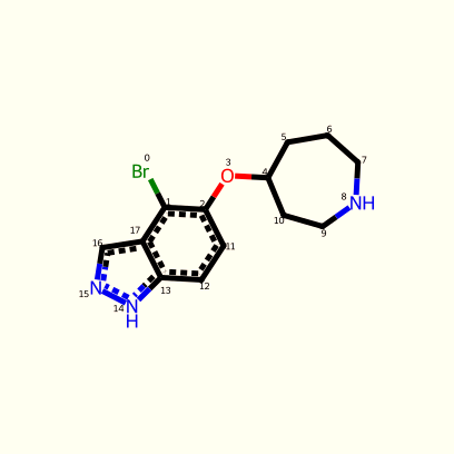 Brc1c(OC2CCCNCC2)ccc2[nH]ncc12